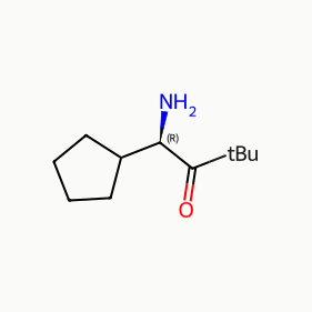 CC(C)(C)C(=O)[C@H](N)C1CCCC1